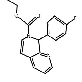 CCOC(=O)N1C=Cc2cccnc2C1c1ccc(F)cc1